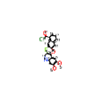 COc1cc2ncc(F)c(Oc3ccc4c(C(=O)Cl)cccc4c3)c2cc1OC